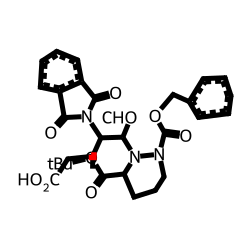 CC(CC(=O)O)C(C(C=O)N1C(C(=O)OC(C)(C)C)CCCN1C(=O)OCc1ccccc1)N1C(=O)c2ccccc2C1=O